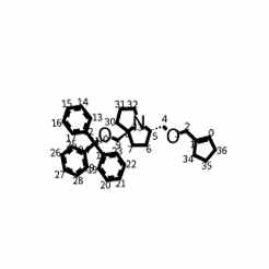 C1=C(COC[C@@H]2CC[C@]3(COC(c4ccccc4)(c4ccccc4)c4ccccc4)CCCN23)CCC1